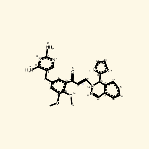 COc1cc(Cc2cnc(N)nc2N)cc(C(=O)/C=C/N2N=Cc3ccccc3C2c2nccs2)c1OC